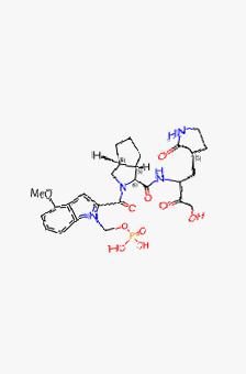 COc1cccc2c1cc(C(=O)N1C[C@@H]3CCC[C@@H]3[C@H]1C(=O)NC(C[C@@H]1CCNC1=O)C(=O)CO)n2COP(=O)(O)O